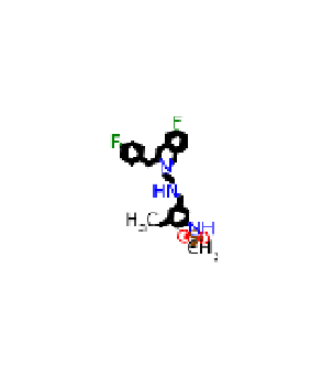 CCc1cc(CNCCN2Cc3ccc(F)cc3CC2Cc2ccc(F)cc2)cc(NS(C)(=O)=O)c1